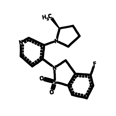 C[C@H]1CCCN1c1cnccc1N1Cc2c(F)cccc2S1(=O)=O